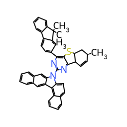 C[C@H]1C=CC2c3nc(-n4c5cc6ccccc6cc5c5c6ccccc6ccc54)nc(-c4ccc5c(c4)C(C)(C)c4ccccc4-5)c3SC2C1